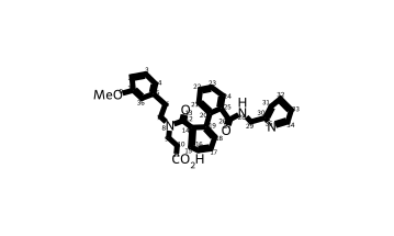 COc1cccc(CCN(CCC(=O)O)C(=O)c2ccccc2-c2ccccc2C(=O)NCc2ccccn2)c1